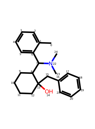 Cc1ccccc1C(C1CCCCC1(O)Cc1ccccc1)N(C)C